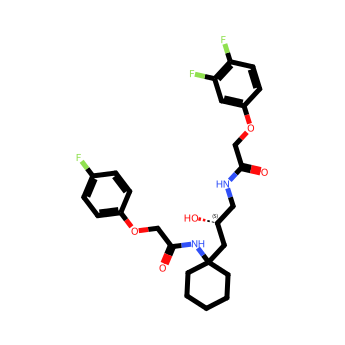 O=C(COc1ccc(F)c(F)c1)NC[C@@H](O)CC1(NC(=O)COc2ccc(F)cc2)CCCCC1